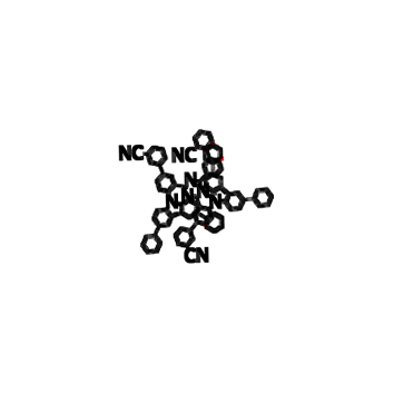 N#Cc1cccc(-c2ccc(-n3c4ccc(-c5ccccc5)cc4c4cc(-c5ccccc5)ccc43)c(-c3nc(-c4cccc(-c5ccccc5C#N)c4)nc(-c4cc(-c5cccc(C#N)c5)ccc4-n4c5ccc(-c6ccccc6)cc5c5cc(-c6ccccc6)ccc54)n3)c2)c1